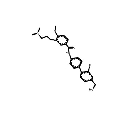 COc1ccc(C(=O)Nc2ccc(-c3ccc(CO)cc3Cl)cc2)cc1CCCN(C)C